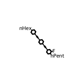 CCCCCCc1ccc(C#Cc2ccc(C#Cc3ccc(CCCCC)c(F)c3)cc2)cc1